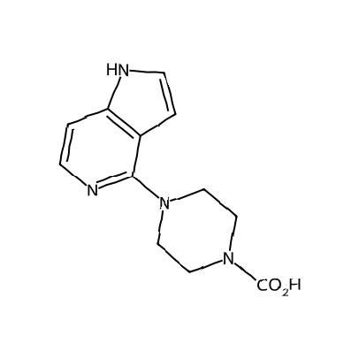 O=C(O)N1CCN(c2nccc3[nH]ccc23)CC1